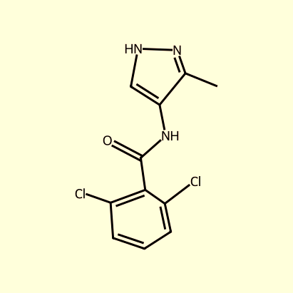 Cc1n[nH]cc1NC(=O)c1c(Cl)cccc1Cl